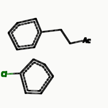 CC(=O)CCc1ccccc1.Clc1ccccc1